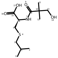 CC(C)CSC[C@H](NC(=O)C(C)(C)CO)C(=O)O